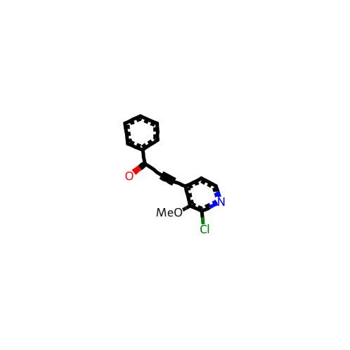 COc1c(C#CC(=O)c2ccccc2)ccnc1Cl